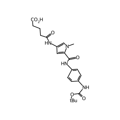 Cn1cc(NC(=O)CCCC(=O)O)cc1C(=O)Nc1ccc(NC(=O)OC(C)(C)C)cc1